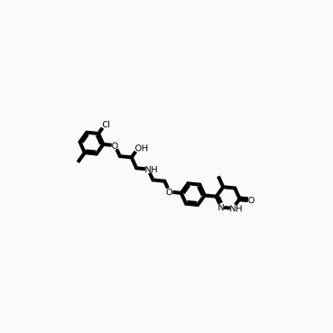 Cc1ccc(Cl)c(OCC(O)CNCCOc2ccc(C3=NNC(=O)CC3C)cc2)c1